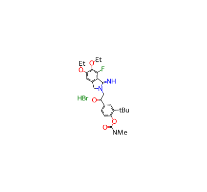 Br.CCOc1cc2c(c(F)c1OCC)C(=N)N(CC(=O)c1ccc(OC(=O)NC)c(C(C)(C)C)c1)C2